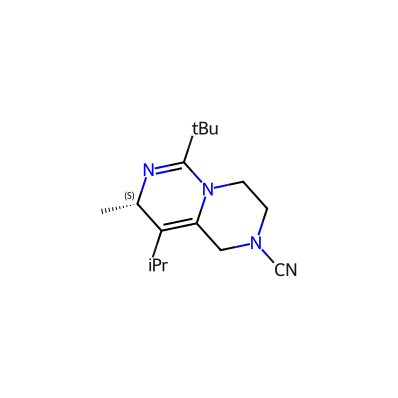 CC(C)C1=C2CN(C#N)CCN2C(C(C)(C)C)=N[C@H]1C